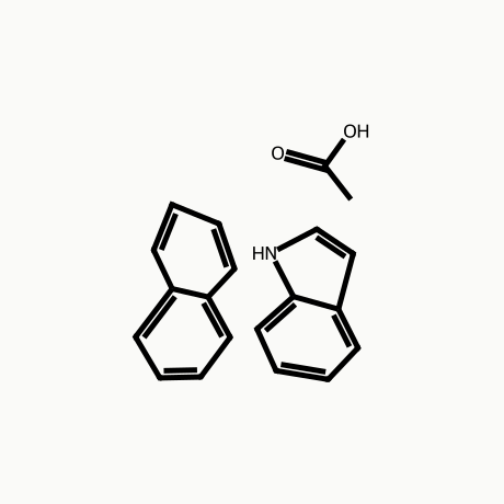 CC(=O)O.c1ccc2[nH]ccc2c1.c1ccc2ccccc2c1